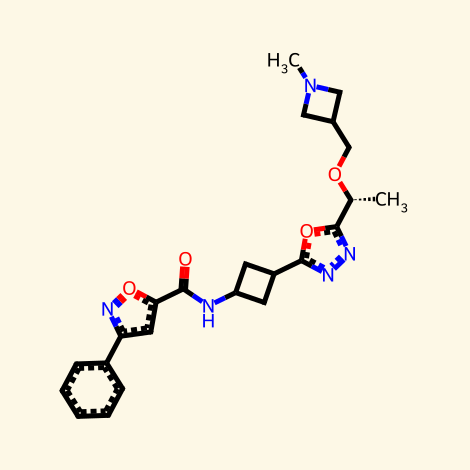 C[C@@H](OCC1CN(C)C1)c1nnc(C2CC(NC(=O)c3cc(-c4ccccc4)no3)C2)o1